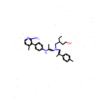 CCC(CCO)CN(/C=C(\C)Nc1ccc(-c2c(C)ccnc2N)cc1)/C=C(\C)c1ccc(C)cc1